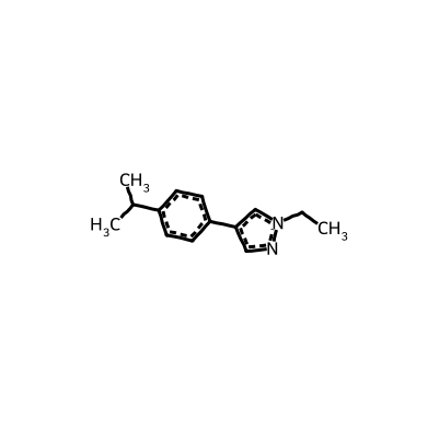 CCn1cc(-c2ccc(C(C)C)cc2)cn1